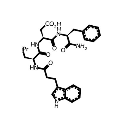 CC(C)C[C@H](NC(=O)CCc1c[nH]c2ccccc12)C(=O)N[C@@H](CC(=O)O)C(=O)N[C@@H](Cc1ccccc1)C(N)=O